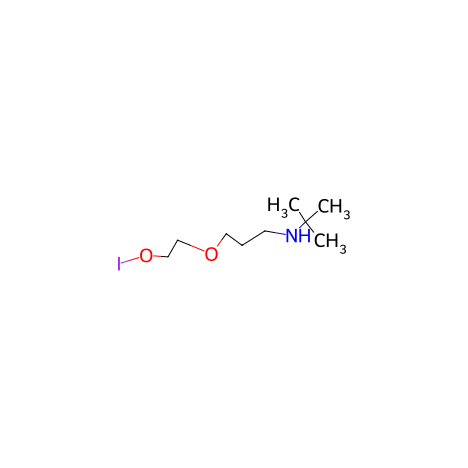 CC(C)(C)NCCCOCCOI